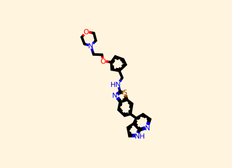 c1cc(CNc2nc3ccc(-c4ccnc5[nH]ccc45)cc3s2)cc(OCCN2CCOCC2)c1